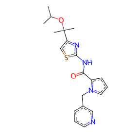 CC(C)OC(C)(C)c1csc(NC(=O)c2cccn2Cc2cccnc2)n1